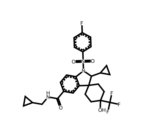 O=C(NCC1CC1)c1ccc2c(c1)C1(CCC(O)(C(F)(F)F)CC1)C(C1CC1)N2S(=O)(=O)c1ccc(F)cc1